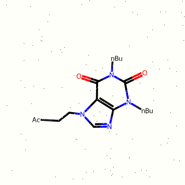 CCCCn1c(=O)c2c(ncn2CCC(C)=O)n(CCCC)c1=O